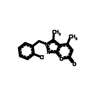 Cc1cc(=O)oc2nn(Cc3ccccc3Cl)c(C)c12